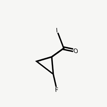 O=C(I)C1CC1F